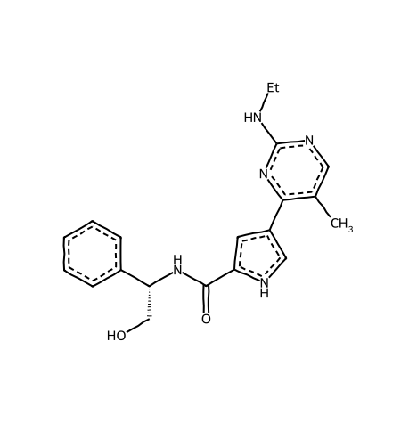 CCNc1ncc(C)c(-c2c[nH]c(C(=O)N[C@H](CO)c3ccccc3)c2)n1